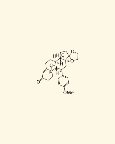 COc1ccc([C@H]2C[C@@]3(C)[C@@H](CCC34OCCO4)[C@@H]3CCC4=CC(=O)CC[C@]4(C)[C@H]32)cc1